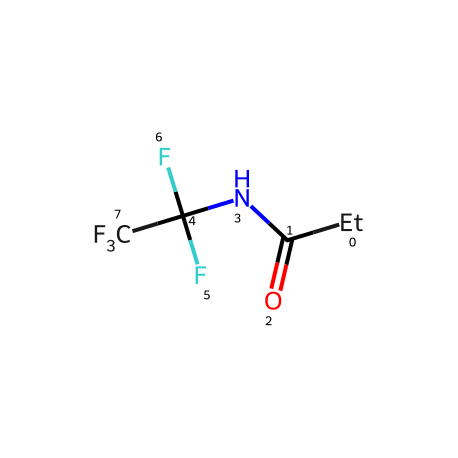 CCC(=O)NC(F)(F)C(F)(F)F